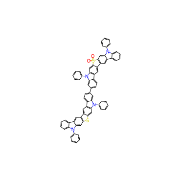 O=S1(=O)c2cc3c(cc2-c2cc4c5ccc(-c6ccc7c8cc9c(cc8n(-c8ccccc8)c7c6)sc6cc7c(cc69)c6ccccc6n7-c6ccccc6)cc5n(-c5ccccc5)c4cc21)c1ccccc1n3-c1ccccc1